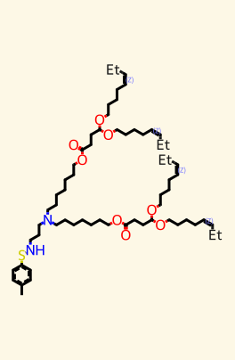 CC/C=C\CCCCOC(CCC(=O)OCCCCCCCN(CCCCCCCOC(=O)CCC(OCCCC/C=C\CC)OCCCC/C=C\CC)CCCNSc1ccc(C)cc1)OCCCC/C=C\CC